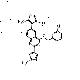 Cc1noc(C)c1-c1ccc2nc(-c3cnn(C)c3)nc(NCc3cccc(Cl)c3)c2c1